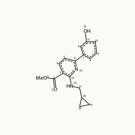 COC(=O)c1ccc(-c2cccc(O)c2)nc1NCC1CC1